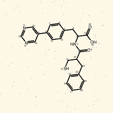 O=C(NC(Cc1ccc(-c2cncnc2)cc1)C(=O)O)C(CS)Cc1ccccc1